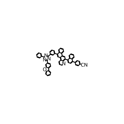 N#Cc1ccc(-c2ccc(-c3cc4c5ccccc5c(-c5cccc(-c6nc(-c7ccccc7)nc(-c7ccc8c(c7)oc7ccccc78)n6)c5)cc4c4cccnc34)c3ccccc23)cc1